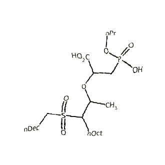 CCCCCCCCCCCS(=O)(=O)C(CCCCCCCC)C(C)OC(CP(=O)(O)OCCC)C(=O)O